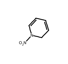 O=[N+]([O-])N1C=CC=CC1